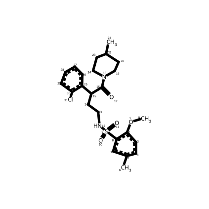 COc1ccc(C)cc1S(=O)(=O)NCCC(C(=O)N1CCC(C)CC1)c1ccccc1Cl